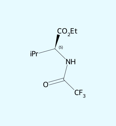 C[CH]OC(=O)[C@@H](NC(=O)C(F)(F)F)C(C)C